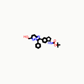 CC(C)(C)OC(=O)N[C@H]1CCc2cc(-c3nc4ccc(CO)nn4c3-c3ccccc3)ccc21